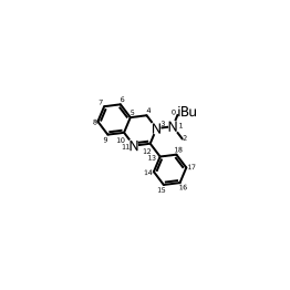 CCC(C)N(C)N1Cc2ccccc2N=C1c1ccccc1